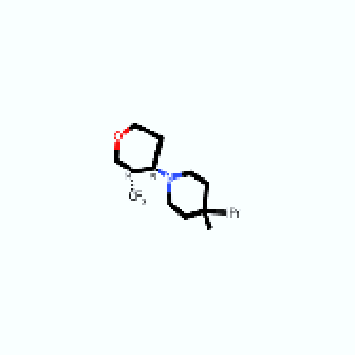 CC(C)C1(C)CCN([C@@H]2CCOC[C@H]2C(F)(F)F)CC1